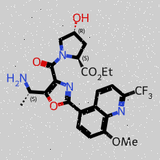 CCOC(=O)[C@@H]1C[C@@H](O)CN1C(=O)c1nc(-c2ccc(OC)c3nc(C(F)(F)F)ccc23)oc1[C@H](C)N